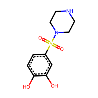 O=S(=O)(c1ccc(O)c(O)c1)N1CCNCC1